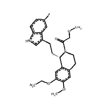 CCOc1cc2c(cc1OC)CCN(C(=O)COC)[C@H]2CCc1c[nH]c2ccc(F)cc12